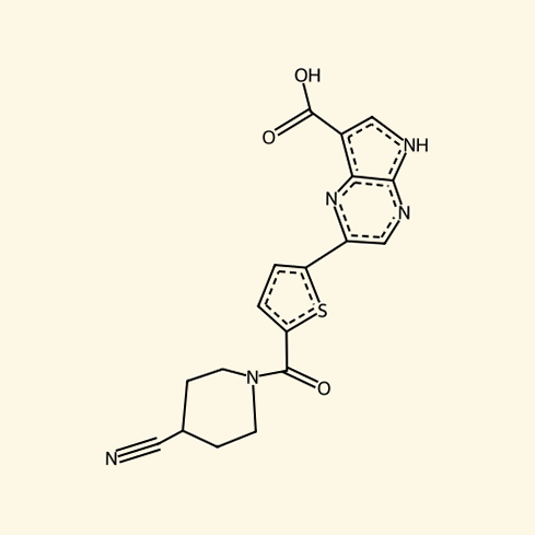 N#CC1CCN(C(=O)c2ccc(-c3cnc4[nH]cc(C(=O)O)c4n3)s2)CC1